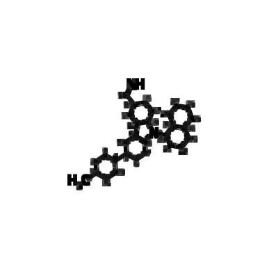 Cc1ccc(-c2ccc3c(c2)c2cc(C=N)ccc2n3-c2cccc3ccccc23)cc1